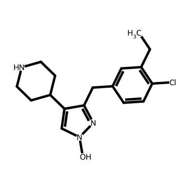 CCc1cc(Cc2nn(O)cc2C2CCNCC2)ccc1Cl